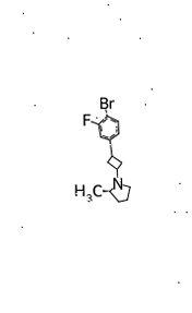 C[C@@H]1CCCN1C1CC(c2ccc(Br)c(F)c2)C1